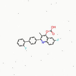 Cc1c(-c2ccc(-c3ccccc3F)cc2)nc2ccc(F)cc2c1OC(=O)O